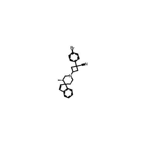 C[C@H]1CN(C2CC(C#N)(c3ccc(Br)cc3)C2)CCC12C=Cc1ccccc12